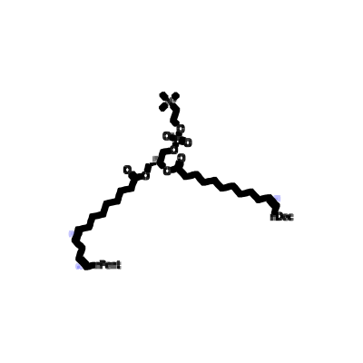 CCCCC/C=C\C/C=C\CCCCCCCC(=O)OC[C@H](COP(=O)([O-])OCC[N+](C)(C)C)OC(=O)CCCCCCCCC/C=C\CCCCCCCCCC